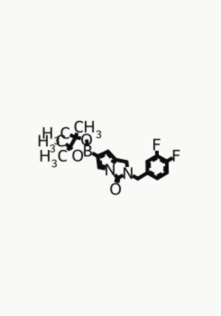 CC1(C)OB(c2cc3n(c2)C(=O)N(Cc2ccc(F)c(F)c2)C3)OC1(C)C